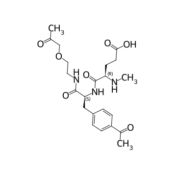 CN[C@H](CCC(=O)O)C(=O)N[C@@H](Cc1ccc(C(C)=O)cc1)C(=O)NCCOCC(C)=O